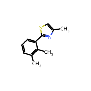 Cc1csc(-c2cccc(C)c2C)n1